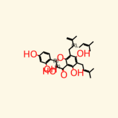 C=C(C)[C@H](CC=C(C)C)Cc1c(O)c(CC=C(C)C)c(O)c2c1O[C@H](c1ccc(O)cc1O)[C@@H](O)C2=O